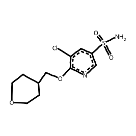 NS(=O)(=O)c1cnc(OCC2CCOCC2)c(Cl)c1